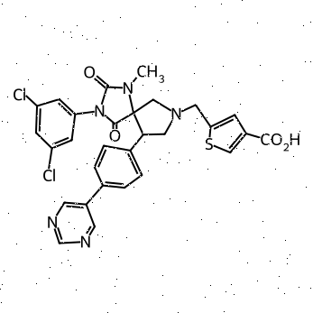 CN1C(=O)N(c2cc(Cl)cc(Cl)c2)C(=O)C12CN(Cc1cc(C(=O)O)cs1)CC2c1ccc(-c2cncnc2)cc1